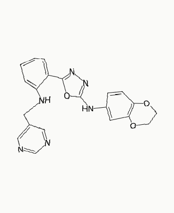 c1ccc(-c2nnc(Nc3ccc4c(c3)OCCO4)o2)c(NCc2cncnc2)c1